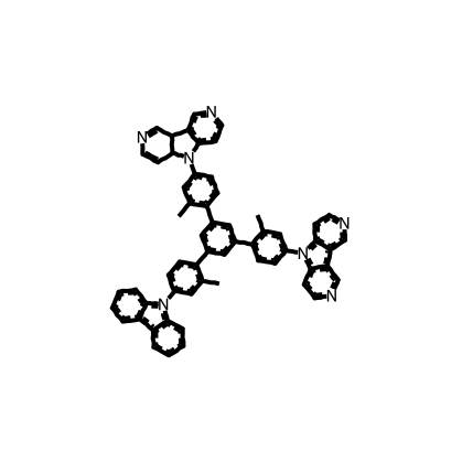 Cc1cc(N2c3ccncc3C3C=NC=CC32)ccc1-c1cc(-c2ccc(-n3c4ccccc4c4ccccc43)cc2C)cc(-c2ccc(-n3c4ccncc4c4cnccc43)cc2C)c1